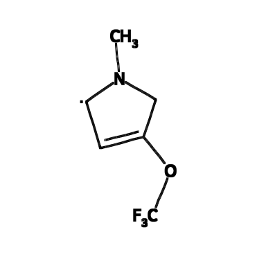 CN1[CH]C=C(OC(F)(F)F)C1